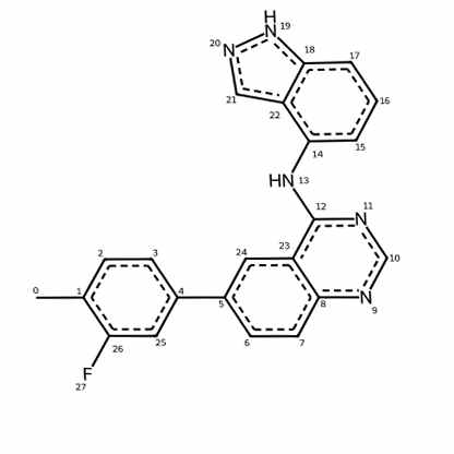 Cc1ccc(-c2ccc3ncnc(Nc4cccc5[nH]ncc45)c3c2)cc1F